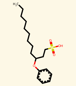 CCCCCCCCCC(CCS(=O)(=O)O)Oc1ccccc1